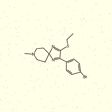 CCSC1=NC2(CCN(C)CC2)N=C1c1ccc(Br)cc1